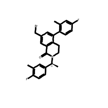 Cc1cc([C@H](C)N2CCc3c(cc(CBr)cc3-c3ccc(F)cc3C)C2=O)ccc1F